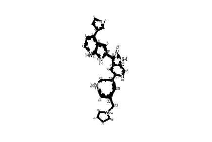 c1cc(-c2ccoc2)c2cc(-c3n[nH]c4cnc(-c5cncc(CN6CCCC6)c5)cc34)[nH]c2n1